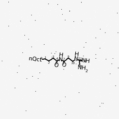 CCCCCCCCCCCC(=O)NC(=O)CCNC(=N)N